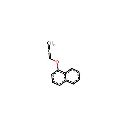 C=C=COc1cccc2ccccc12